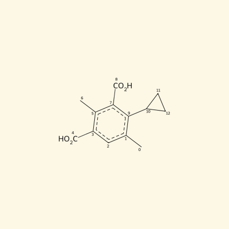 Cc1cc(C(=O)O)c(C)c(C(=O)O)c1C1CC1